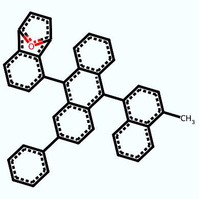 Cc1ccc(-c2c3ccccc3c(-c3cccc4c5ccc(o5)c34)c3cc(-c4ccccc4)ccc23)c2ccccc12